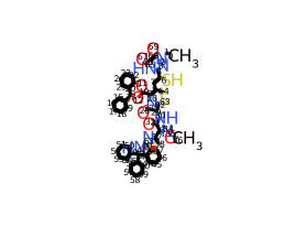 CCn1nc(C(S)=CC2=C(C(=O)OC(c3ccccc3)c3ccccc3)N3C(=O)C(NC(=O)C(=NOC)c4csc(NC(c5ccccc5)(c5ccccc5)c5ccccc5)n4)C3SC2)[nH]c(=O)c1=O